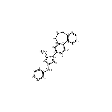 Nc1nc(Nc2cccnc2)nn1-c1cc2c(nn1)-c1ccccc1CCC2